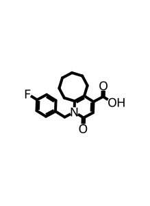 O=C(O)c1cc(=O)n(Cc2ccc(F)cc2)c2c1CCCCCC2